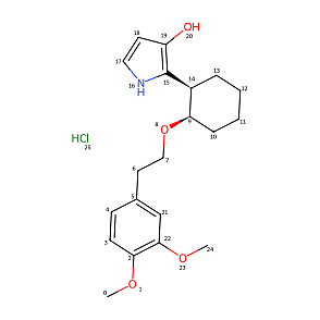 COc1ccc(CCO[C@@H]2CCCC[C@@H]2c2[nH]ccc2O)cc1OC.Cl